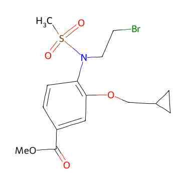 COC(=O)c1ccc(N(CCBr)S(C)(=O)=O)c(OCC2CC2)c1